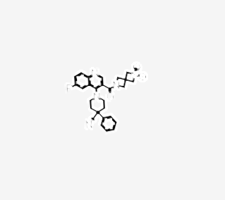 N#CC1(c2ccccc2)CCN(c2c(C(=O)N3CC4(C3)CS(=O)(=O)C4)cnc3ccc(F)cc23)CC1